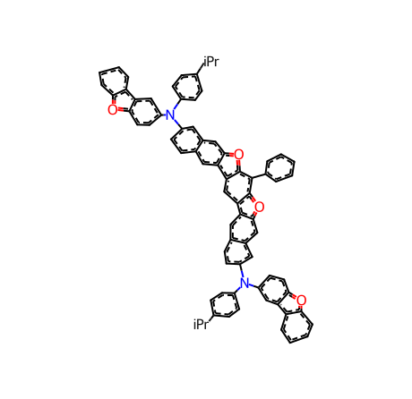 CC(C)c1ccc(N(c2ccc3cc4c(cc3c2)oc2c(-c3ccccc3)c3oc5cc6cc(N(c7ccc(C(C)C)cc7)c7ccc8oc9ccccc9c8c7)ccc6cc5c3cc24)c2ccc3oc4ccccc4c3c2)cc1